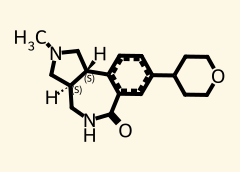 CN1C[C@@H]2CNC(=O)c3cc(C4CCOCC4)ccc3[C@H]2C1